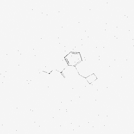 O=C(OCO)c1ccccc1CC1CCC1